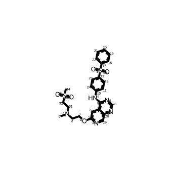 CN(CCOc1cc2c(Nc3ccc(S(=O)(=O)c4ccccc4)cc3)ncnc2cn1)CCS(C)(=O)=O